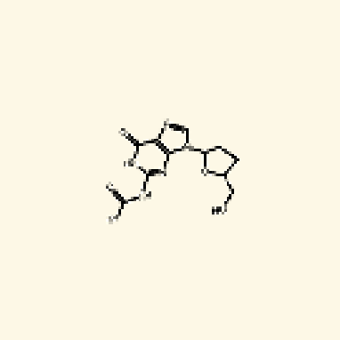 CC(C)C(=O)Nc1nc2c(ncn2C2CC[C@@H](CO)O2)c(=O)[nH]1